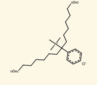 CCCCCCCCCCCCCCCCC(CCCCCCCCCCCCCCCC)(c1ccccc1)[N+](C)(C)C.[Cl-]